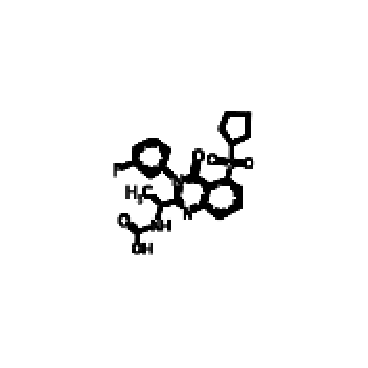 CC(NC(=O)O)c1nc2cccc(S(=O)(=O)C3CCCC3)c2c(=O)n1-c1cccc(F)c1